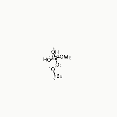 CCCCOO[Si](O)(O)OC